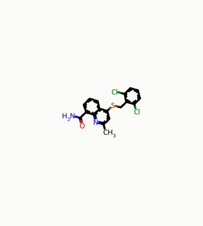 Cc1cc(SCc2c(Cl)cccc2Cl)c2cccc(C(N)=O)c2n1